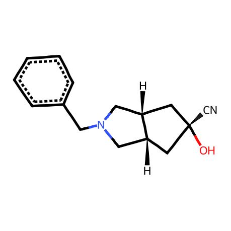 N#C[C@]1(O)C[C@H]2CN(Cc3ccccc3)C[C@H]2C1